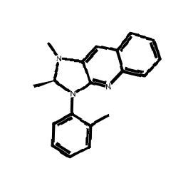 Cc1ccccc1N1c2nc3ccccc3cc2N(C)[C@@H]1C